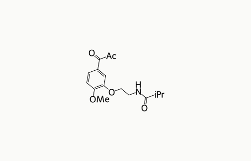 COc1ccc(C(=O)C(C)=O)cc1OCCNC(=O)C(C)C